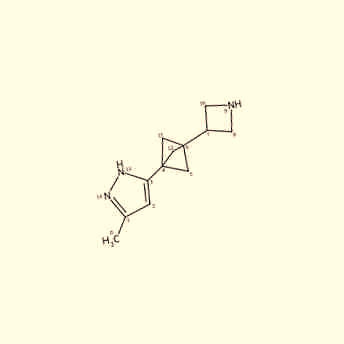 Cc1cc(C23CC(C4CNC4)(C2)C3)[nH]n1